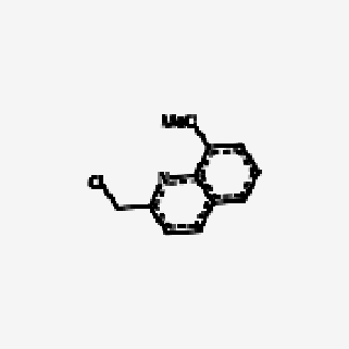 COc1cccc2ccc(CCl)nc12